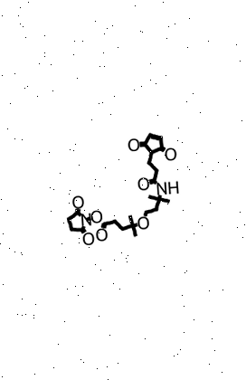 CC(C)(CCOC(C)(C)CCC(=O)ON1C(=O)CCC1=O)NC(=O)CCC1C(=O)C=CC1=O